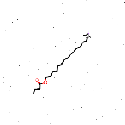 CC=CC(=O)OCCCCCCCCCCCCCC[Si](C)(C)I